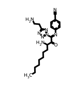 CCCCCCCCC(N)C(=O)C(=Nc1ccc(C#N)cc1)n1nnc(CCN)n1